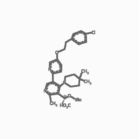 Cc1ncc(-c2ccc(OCCc3ccc(Cl)cc3)cn2)c(N2CCC(C)(C)CC2)c1[C@H](OC(C)(C)C)C(=O)O